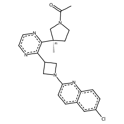 CC(=O)N1CC[C@@](C)(c2nccnc2C2CN(c3ccc4cc(Cl)ccc4n3)C2)C1